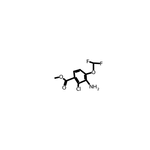 COC(=O)c1ccc(OC(F)F)c(N)c1Cl